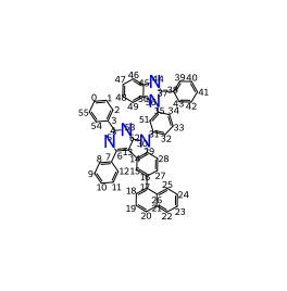 c1ccc(-c2nc(-c3ccccc3)c3c4cc(-c5cccc6ccccc56)ccc4n(-c4cccc(-n5c(-c6ccccc6)nc6ccccc65)c4)c3n2)cc1